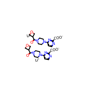 O=C([O-])c1nccc(N2CCN(C(=O)C3COC3)CC2)n1.O=C([O-])c1nccc(N2CCN(C(=O)C3COC3)CC2)n1.[Li+].[Li+]